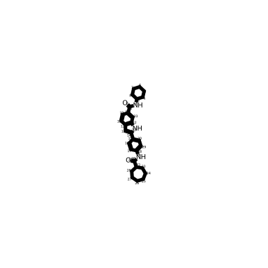 O=C(NC1CCCCC1)c1ccc2cc(-c3ccc(NC(=O)C4CCCCCC4)cc3)[nH]c2c1